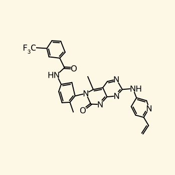 C=Cc1ccc(Nc2ncc3c(C)n(-c4cc(NC(=O)c5cccc(C(F)(F)F)c5)ccc4C)c(=O)nc3n2)cn1